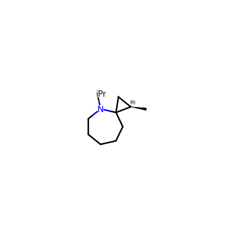 CC(C)N1CCCCCC12C[C@H]2C